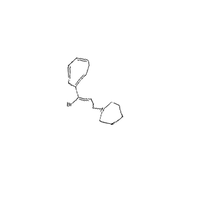 BrC(=CCN1CCCCC1)c1ccccc1